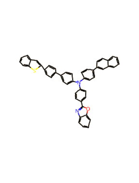 c1ccc2cc(-c3ccc(N(c4ccc(-c5ccc(-c6cc7ccccc7s6)cc5)cc4)c4ccc(-c5nc6ccccc6o5)cc4)cc3)ccc2c1